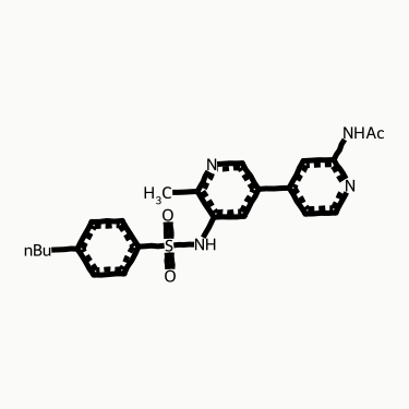 CCCCc1ccc(S(=O)(=O)Nc2cc(-c3ccnc(NC(C)=O)c3)cnc2C)cc1